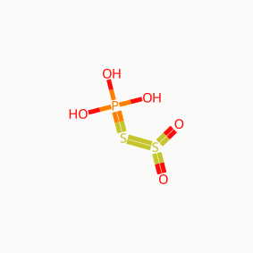 O=S(=O)=S=P(O)(O)O